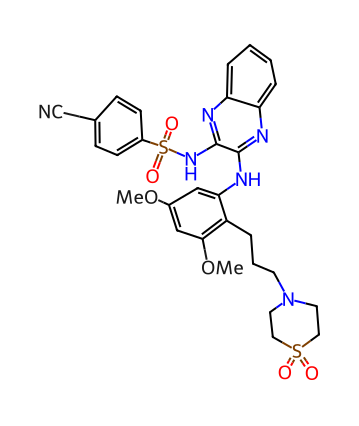 COc1cc(Nc2nc3ccccc3nc2NS(=O)(=O)c2ccc(C#N)cc2)c(CCCN2CCS(=O)(=O)CC2)c(OC)c1